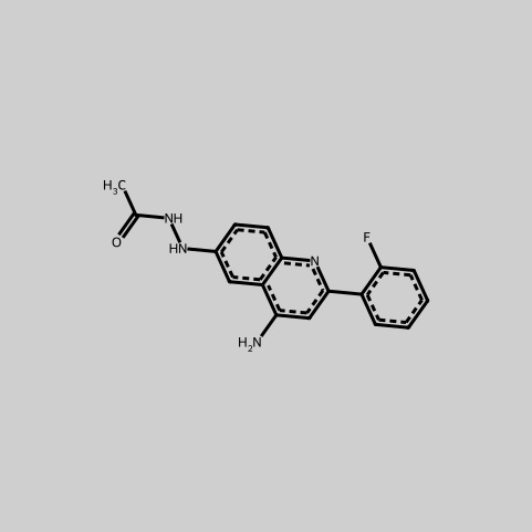 CC(=O)NNc1ccc2nc(-c3ccccc3F)cc(N)c2c1